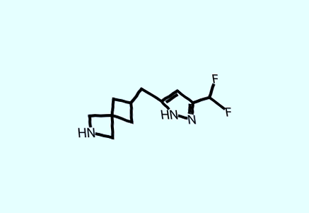 FC(F)c1cc(CC2CC3(CNC3)C2)[nH]n1